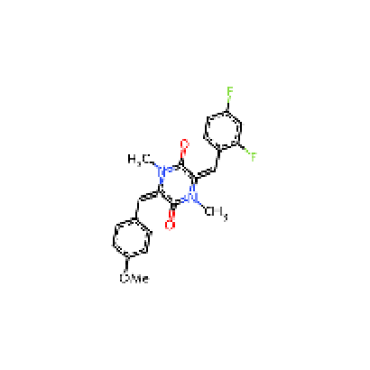 COc1ccc(C=c2c(=O)n(C)c(=Cc3ccc(F)cc3F)c(=O)n2C)cc1